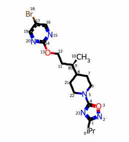 CC(C)c1noc(N2CCC([C@H](C)CCOc3ncc(Br)cn3)CC2)n1